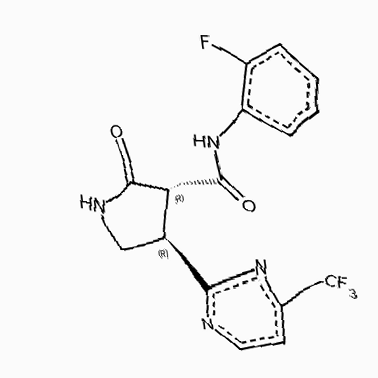 O=C1NC[C@H](c2nccc(C(F)(F)F)n2)[C@H]1C(=O)Nc1ccccc1F